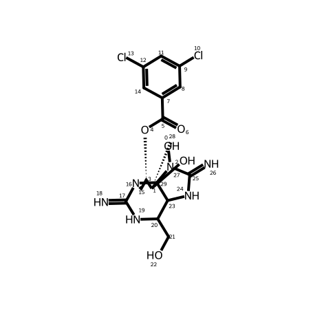 C[C@]1(O)[C@@H](OC(=O)c2cc(Cl)cc(Cl)c2)CN2C(=N)NC(CO)C3NC(=N)N(O)C321